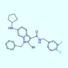 CC(C)c1c(C(=O)NCc2ccc(F)c(F)c2)c2ccc(NC3CCCC3)cc2n1Cc1ccccc1